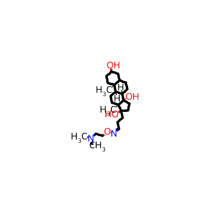 CN(C)CCO/N=C\CCC1(O)CC[C@@]2(O)[C@@H]3CCC4CC(O)CC[C@]4(C)[C@@H]3CC[C@]12C